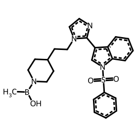 CB(O)N1CCC(CCn2ccnc2-c2cn(S(=O)(=O)c3ccccc3)c3ccccc23)CC1